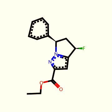 CCOC(=O)c1cc2n(n1)[C@@H](c1ccccc1)C[C@H]2F